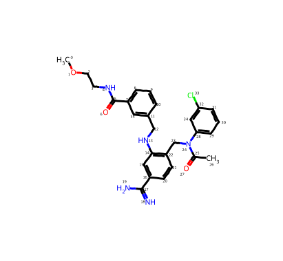 COCCNC(=O)c1cccc(CNc2cc(C(=N)N)ccc2CN(C(C)=O)c2cccc(Cl)c2)c1